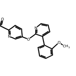 COc1ccccc1-c1cccnc1Oc1ccc(C=O)nc1